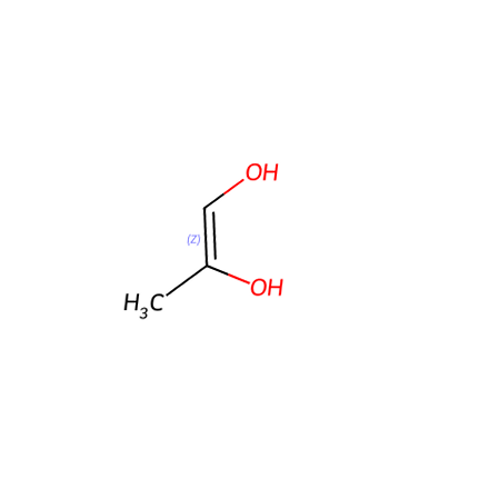 C/C(O)=C/O